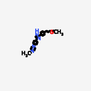 CCOC/C=C/c1ccc(-c2nc(-c3ccc(N4CCN(CC)CC4)cc3)c[nH]2)cc1